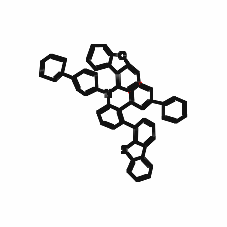 c1ccc(-c2ccc(N(c3cccc(-c4cccc5c4sc4ccccc45)c3-c3cccc(-c4ccccc4)c3)c3cccc4oc5ccccc5c34)cc2)cc1